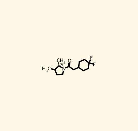 CC1CCN(C(=O)CC2CCC(F)(F)CC2)[C@@H]1C